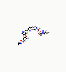 CC(C)C(N)C(=O)NC(C(=O)OCC(=O)N1CCN(Cc2ccc(-c3cc4nccc(Oc5ccc(NC(=O)NC6CC6)cc5F)c4s3)nc2)CC1)C(C)C